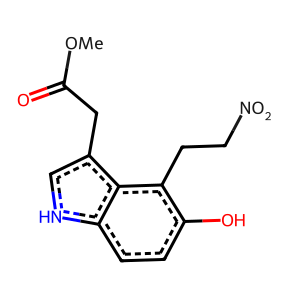 COC(=O)Cc1c[nH]c2ccc(O)c(CC[N+](=O)[O-])c12